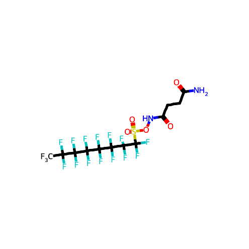 NC(=O)CCC(=O)NOS(=O)(=O)C(F)(F)C(F)(F)C(F)(F)C(F)(F)C(F)(F)C(F)(F)C(F)(F)C(F)(F)F